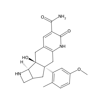 COc1ccc(C)c([C@@]23Cc4[nH]c(=O)c(C(N)=O)cc4C[C@@]2(O)[C@@H]2NCC2C3)c1